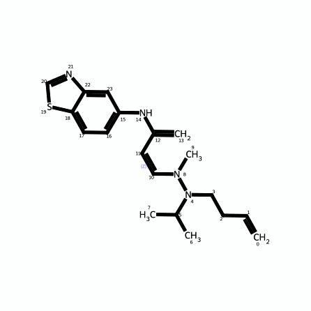 C=CCCN(C(C)C)N(C)/C=C\C(=C)Nc1ccc2scnc2c1